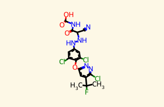 CC(C)(F)c1cc(Oc2c(Cl)cc(NNC(C#N)C(=O)NC(=O)O)cc2Cl)nnc1Cl